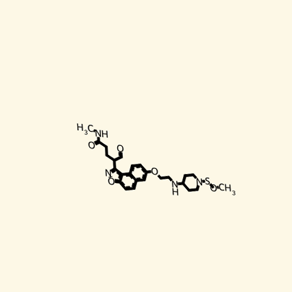 CNC(=O)CCC(C=O)c1noc2ccc3cc(OCCNC4CCN(SOC)CC4)ccc3c12